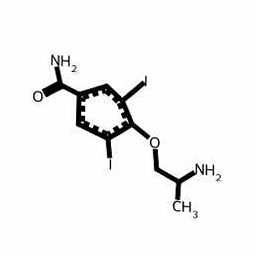 CC(N)COc1c(I)cc(C(N)=O)cc1I